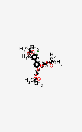 C=C(C)C(=O)OCCOc1ccc(C2=CC(F)=C(OC(=O)C(=C)C)[C@H](C)C2)cc1OCCOC(=O)C(=C)C